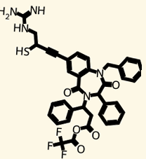 N=C(N)NCC(S)C#Cc1ccc2c(c1)C(=O)N(C(CC(=O)OC(=O)C(F)(F)F)c1ccccc1)C(c1ccccc1)C(=O)N2Cc1ccccc1